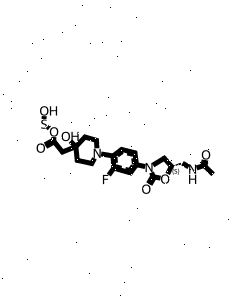 CC(=O)NC[C@H]1CN(c2ccc(N3CCC(O)(CC(=O)OSO)CC3)c(F)c2)C(=O)O1